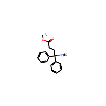 [C-]#[N+]C(CCC(=O)OC)(c1ccccc1)c1ccccc1